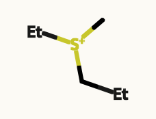 CCC[S+](C)CC